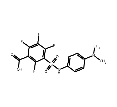 CN(C)c1ccc(NS(=O)(=O)c2c(F)c(F)c(F)c(C(=O)O)c2F)cc1